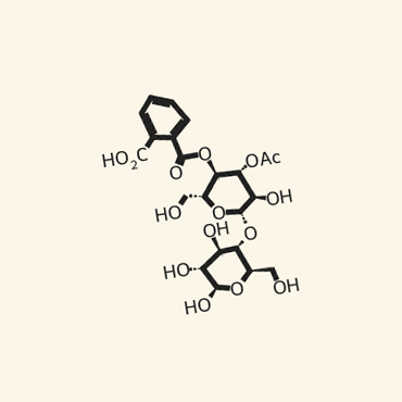 CC(=O)O[C@@H]1[C@@H](O)[C@H](O[C@H]2[C@H](O)[C@@H](O)[C@H](O)O[C@@H]2CO)O[C@H](CO)[C@H]1OC(=O)c1ccccc1C(=O)O